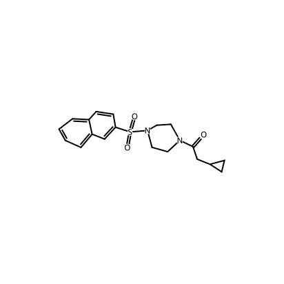 O=C(CC1CC1)N1CCN(S(=O)(=O)c2ccc3ccccc3c2)CC1